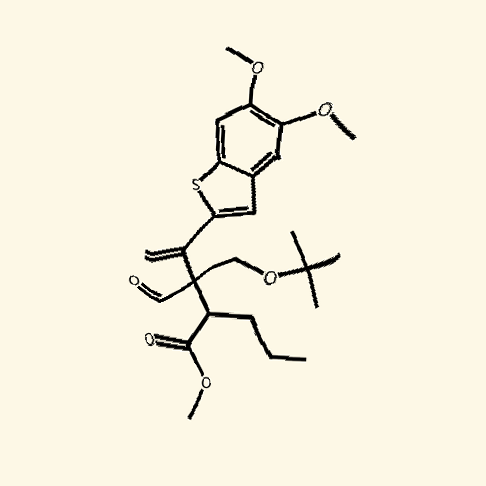 C=C(c1cc2cc(OC)c(OC)cc2s1)C(C=O)(COC(C)(C)C)C(CCC)C(=O)OC